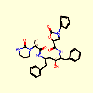 CC(C)[C@@H](C(=O)NC(Cc1ccccc1)C[C@H](O)C(Cc1ccccc1)NC(=O)C1CN(c2ccccc2)C(=O)O1)N1CCCNC1=O